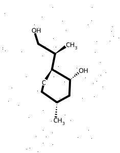 C[C@@H]1CC[C@@H]([C@H](C)CO)[C@H](O)C1